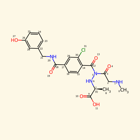 CNCC(=O)N(N[C@@H](C)C(=O)O)C(=O)c1ccc(C(=O)NCc2cccc(O)c2)cc1Cl